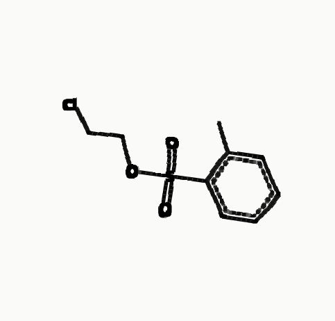 Cc1ccccc1S(=O)(=O)OCCCl